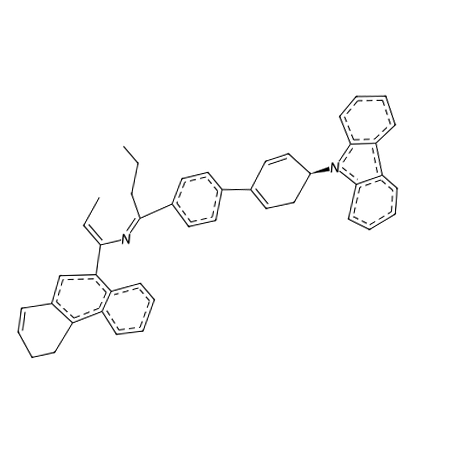 C/C=C(\N=C(/CCC)c1ccc(C2=CC[C@H](n3c4ccccc4c4ccccc43)C=C2)cc1)c1cc2c(c3ccccc13)CCC=C2